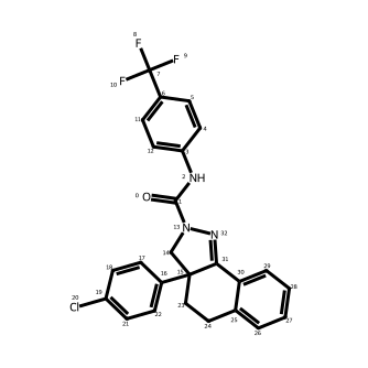 O=C(Nc1ccc(C(F)(F)F)cc1)N1CC2(c3ccc(Cl)cc3)CCc3ccccc3C2=N1